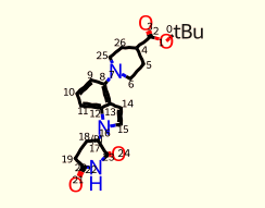 CC(C)(C)OC(=O)C1CCN(c2cccc3c2ccn3[C@@H]2CCC(=O)NC2=O)CC1